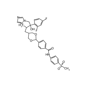 CC(CC1COC(c2ccc(C(=O)Nc3ccc(S(C)(=O)=O)cc3)cc2)OC1)C(O)(Cn1cncn1)c1ccc(F)cc1F